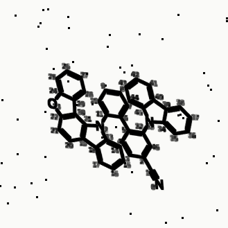 N#Cc1ccc(-c2ccccc2-n2c3ccccc3c3ccc4oc5ccccc5c4c32)c(-n2c3ccccc3c3ccccc32)c1